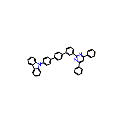 c1ccc(-c2cc(-c3ccccc3)nc(-c3cccc(-c4ccc(-c5ccc(-n6c7ccccc7c7ccccc76)cc5)cc4)c3)n2)cc1